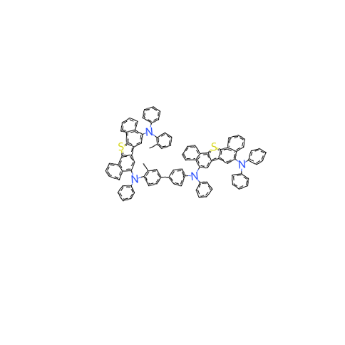 Cc1ccccc1N(c1ccccc1)c1cc2c3cc(N(c4ccccc4)c4ccc(-c5ccc(N(c6ccccc6)c6cc7c8cc(N(c9ccccc9)c9ccccc9)c9ccccc9c8sc7c7ccccc67)cc5)cc4C)c4ccccc4c3sc2c2ccccc12